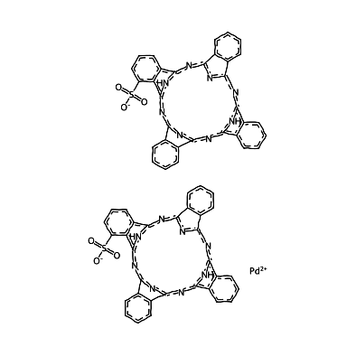 O=S(=O)([O-])c1cccc2c3nc4nc(nc5[nH]c(nc6nc(nc([nH]3)c12)-c1ccccc1-6)c1ccccc51)-c1ccccc1-4.O=S(=O)([O-])c1cccc2c3nc4nc(nc5[nH]c(nc6nc(nc([nH]3)c12)-c1ccccc1-6)c1ccccc51)-c1ccccc1-4.[Pd+2]